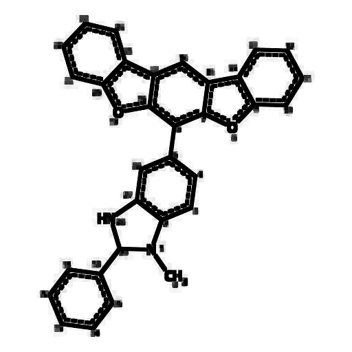 CN1c2ccc(-c3c4oc5ccccc5c4cc4c3oc3ccccc34)cc2NC1c1ccccc1